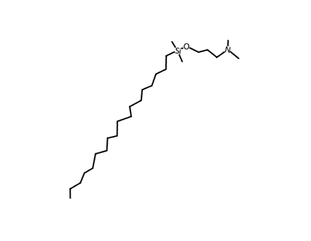 CCCCCCCCCCCCCCCCCC[Si](C)(C)OCCCN(C)C